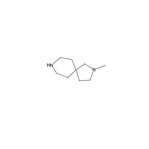 CN1[CH]C2(CCNCC2)CC1